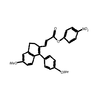 COc1ccc(C2=C(C=CC(=O)Oc3ccc([N+](=O)[O-])cc3)CCc3cc(OC)ccc32)cc1